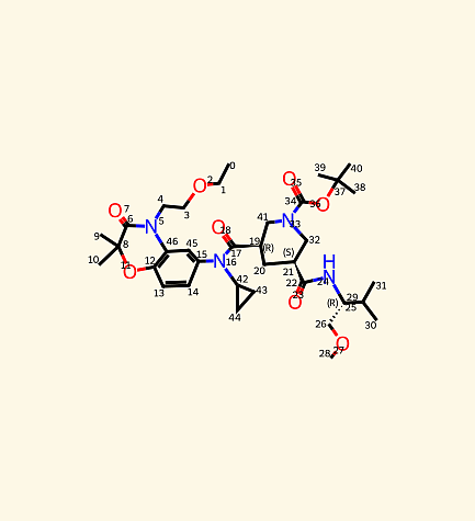 CCOCCN1C(=O)C(C)(C)Oc2ccc(N(C(=O)[C@@H]3C[C@H](C(=O)N[C@@H](COC)C(C)C)CN(C(=O)OC(C)(C)C)C3)C3CC3)cc21